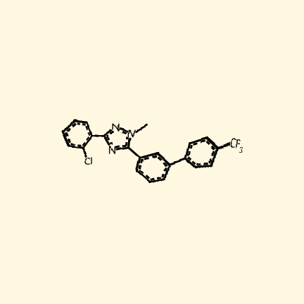 Cn1nc(-c2ccccc2Cl)nc1-c1cccc(-c2ccc(C(F)(F)F)cc2)c1